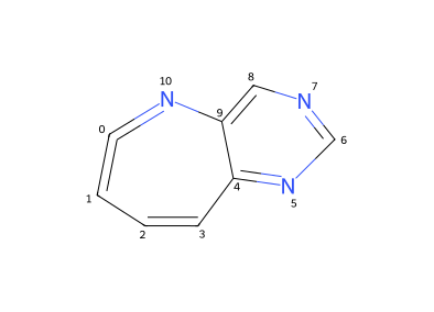 C1=CC=Cc2ncncc2N=1